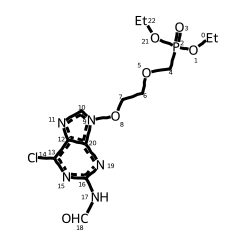 CCOP(=O)(COCCOn1cnc2c(Cl)nc(NC=O)nc21)OCC